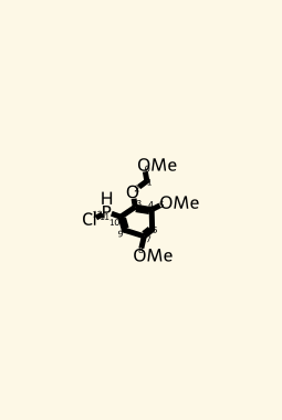 COCOc1c(OC)cc(OC)cc1PCl